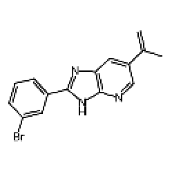 C=C(C)c1cnc2[nH]c(-c3cccc(Br)c3)nc2c1